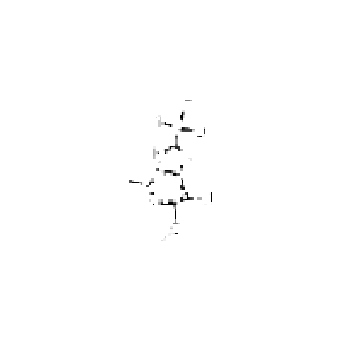 COc1nc(C)n2nc(S(=O)(=O)Cl)nc2c1Cl